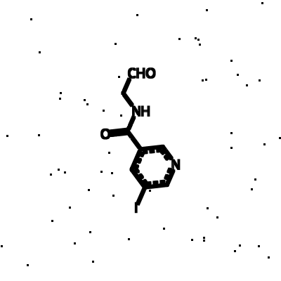 O=CCNC(=O)c1cncc(I)c1